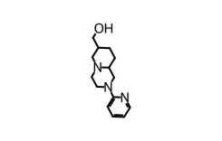 OCC1CCC2CN(c3ccccn3)CCN2C1